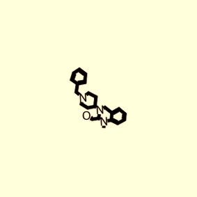 CN1c2ccccc2CN(C2CCN(Cc3ccccc3)CC2)C1C=O